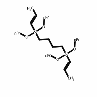 CC=C[Si](CCCC[Si](C=CC)(OCCC)OCCC)(OCCC)OCCC